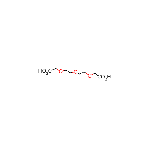 O=C(O)COCCOCCOCC(=O)O